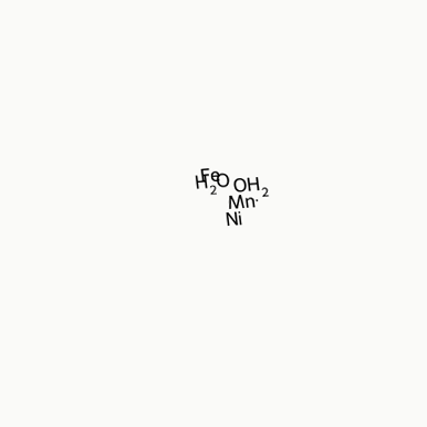 O.O.[Fe].[Mn].[Ni]